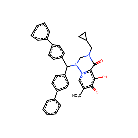 O=C(O)c1cn2c(c(O)c1=O)C(=O)N(CC1CC1)CN2C(c1ccc(-c2ccccc2)cc1)c1ccc(-c2ccccc2)cc1